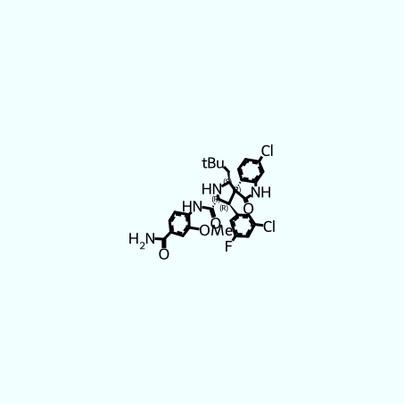 COc1cc(C(N)=O)ccc1NC(=O)[C@@H]1N[C@@H](CC(C)(C)C)[C@@]2(C(=O)Nc3cc(Cl)ccc32)[C@H]1c1cc(F)cc(Cl)c1